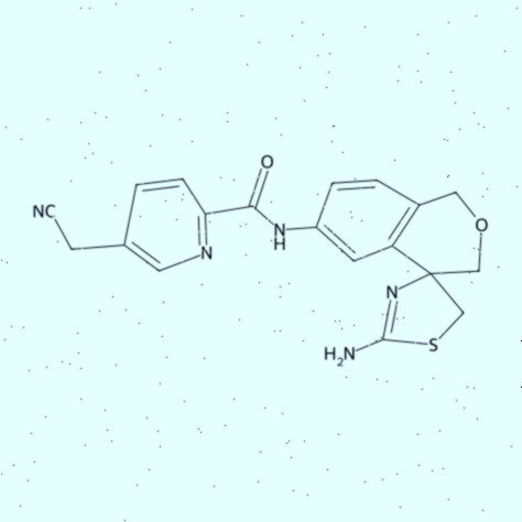 N#CCc1ccc(C(=O)Nc2ccc3c(c2)C2(COC3)CSC(N)=N2)nc1